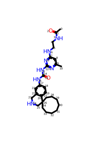 CC(=O)NCCNc1cc(C)nc(NC(=O)Nc2ccc3c(c2)CNCC32CCCCCCCC2)n1